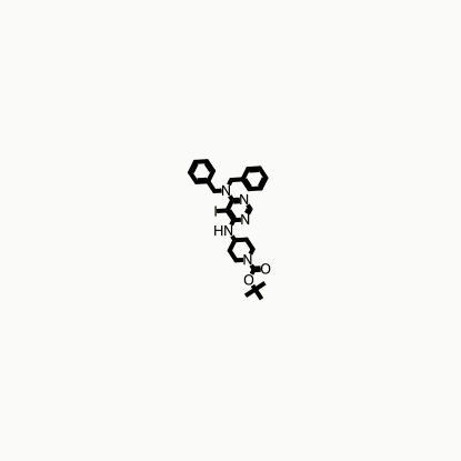 CC(C)(C)OC(=O)N1CCC(Nc2ncnc(N(Cc3ccccc3)Cc3ccccc3)c2I)CC1